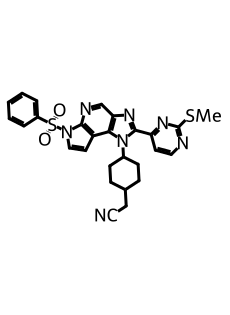 CSc1nccc(-c2nc3cnc4c(ccn4S(=O)(=O)c4ccccc4)c3n2C2CCC(CC#N)CC2)n1